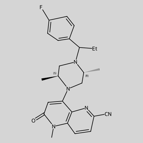 CCC(c1ccc(F)cc1)N1C[C@H](C)N(c2cc(=O)n(C)c3ccc(C#N)nc23)C[C@H]1C